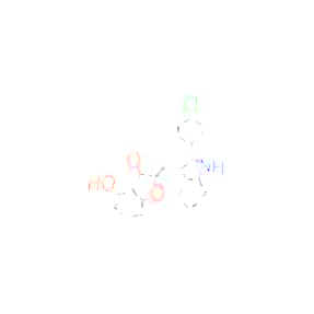 O=C1/C(=C/c2c(-c3ccc(Cl)cc3)[nH]c3ccccc23)Oc2cccc(O)c21